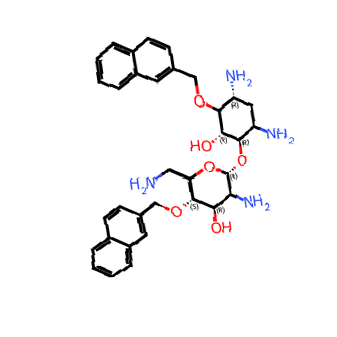 NCC1O[C@H](O[C@@H]2C(N)C[C@@H](N)C(OCc3ccc4ccccc4c3)[C@H]2O)C(N)[C@@H](O)[C@@H]1OCc1ccc2ccccc2c1